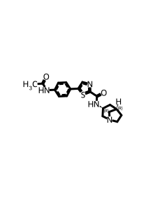 CC(=O)Nc1ccc(-c2cnc(C(=O)N[C@@H]3C[C@H]4CCN(C4)C3)s2)cc1